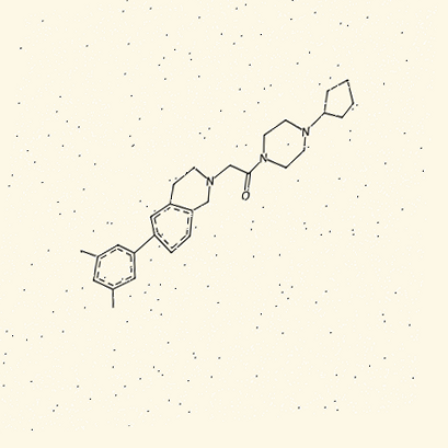 Cc1cc(C)cc(-c2ccc3c(c2)CCN(CC(=O)N2CCN(C4CCCC4)CC2)C3)c1